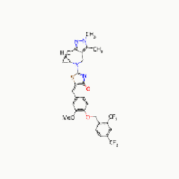 COc1cc(C=C2SC(N(Cc3c(C)nn(C)c3C)C3CC3)=NC2=O)ccc1OCc1ccc(C(F)(F)F)cc1C(F)(F)F